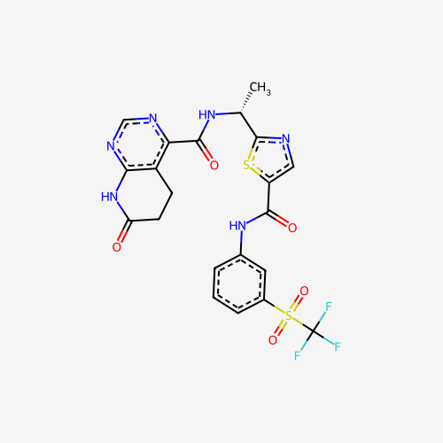 C[C@@H](NC(=O)c1ncnc2c1CCC(=O)N2)c1ncc(C(=O)Nc2cccc(S(=O)(=O)C(F)(F)F)c2)s1